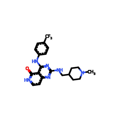 CN1CCC(CNc2nc(Nc3ccc(C(F)(F)F)cc3)c3c(=O)[nH]ccc3n2)CC1